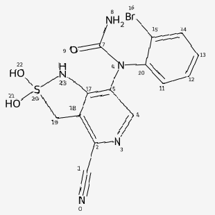 N#Cc1ncc(N(C(N)=O)c2ccccc2Br)c2c1CS(O)(O)N2